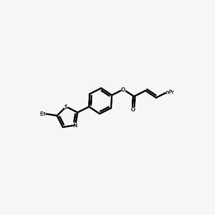 CCC/C=C/C(=O)Oc1ccc(-c2ncc(CC)s2)cc1